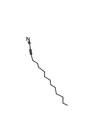 CCCCCCCCCCCCC#CC#N